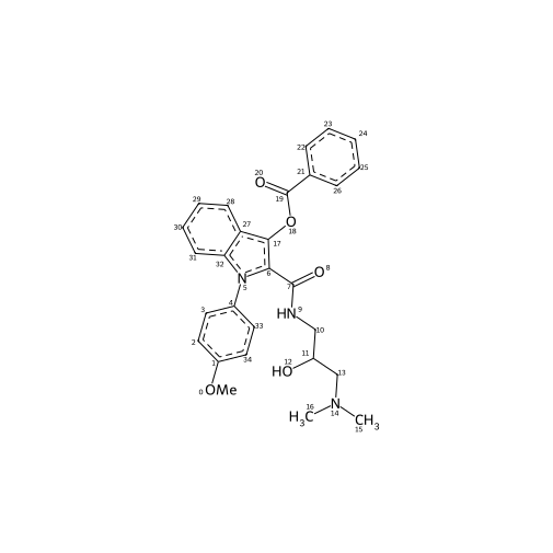 COc1ccc(-n2c(C(=O)NCC(O)CN(C)C)c(OC(=O)c3ccccc3)c3ccccc32)cc1